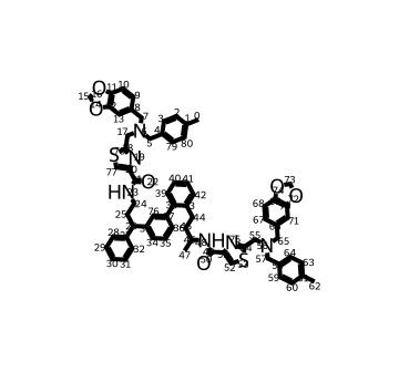 Cc1ccc(CN(Cc2ccc3c(c2)OCO3)Cc2nc(C(=O)NCCC(c3ccccc3)c3cccc(-c4ccccc4CCC(C)NC(=O)c4csc(CN(Cc5ccc(C)cc5)Cc5ccc6c(c5)OCO6)n4)c3)cs2)cc1